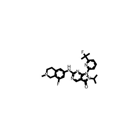 CC(C)n1c(=O)c2cnc(Nc3cc(F)c4c(c3)CCN(C)C4)nc2n1-c1cccc(C(C)(C)F)n1